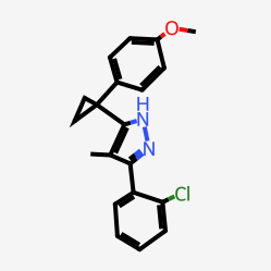 COc1ccc(C2(c3[nH]nc(-c4ccccc4Cl)c3C)CC2)cc1